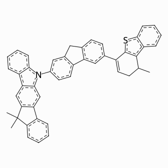 CC1CC=C(c2ccc3c(c2)-c2ccc(-n4c5ccccc5c5cc6c(cc54)-c4ccccc4C6(C)C)cc2C3)c2sc3ccccc3c21